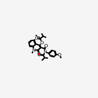 COc1ccc(N(C(=O)c2c(OC(=O)C(C)C)c3c(OC)cccc3n(C)c2=O)C(=O)C(C)C)cc1